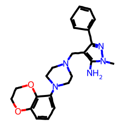 Cn1nc(-c2ccccc2)c(CN2CCN(c3cccc4c3OCCO4)CC2)c1N